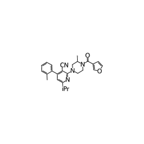 Cc1ccccc1-c1cc(C(C)C)nc(N2CCN(C(=O)c3ccoc3)C(C)C2)c1C#N